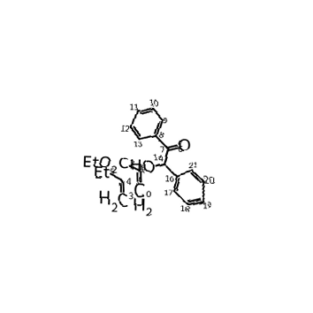 C=CC(=O)OCC.C=CCC.O=C(c1ccccc1)C(O)c1ccccc1